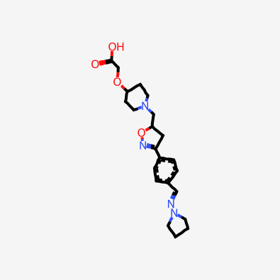 O=C(O)COC1CCN(CC2CC(c3ccc(/C=N/N4CCCC4)cc3)=NO2)CC1